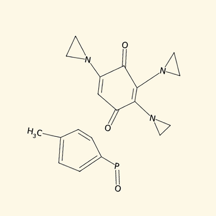 Cc1ccc(P=O)cc1.O=C1C=C(N2CC2)C(=O)C(N2CC2)=C1N1CC1